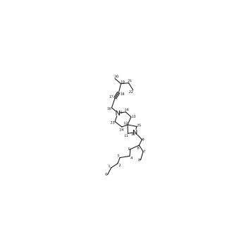 CCCCCCC(CC)CN1CC2(CCN(CC#CC(C)CC)CC2)C1